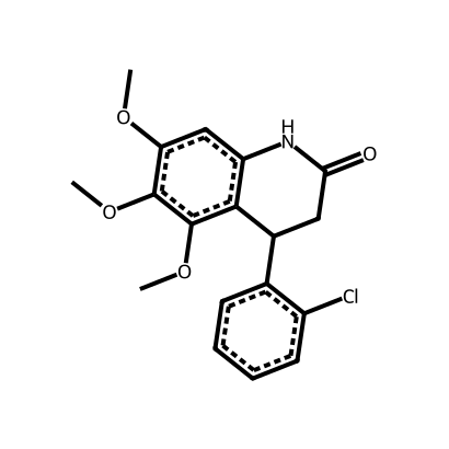 COc1cc2c(c(OC)c1OC)C(c1ccccc1Cl)CC(=O)N2